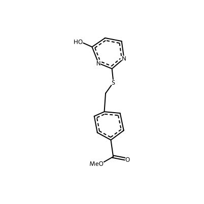 COC(=O)c1ccc(CSc2nccc(O)n2)cc1